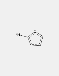 [3H]c1ccco1